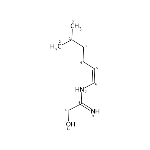 CC(C)CC/C=C\NC(=N)CO